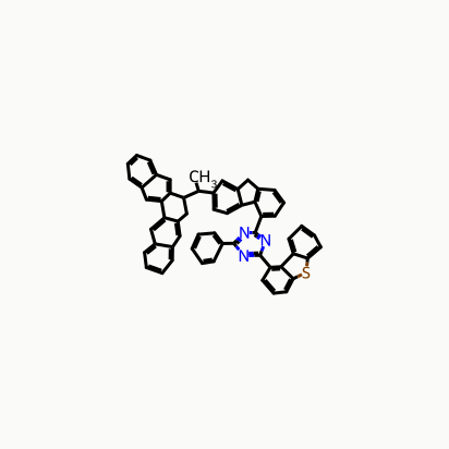 CC(c1ccc2c(c1)Cc1cccc(-c3nc(-c4ccccc4)nc(-c4cccc5sc6ccccc6c45)n3)c1-2)C1Cc2cc3ccccc3cc2-c2cc3ccccc3cc21